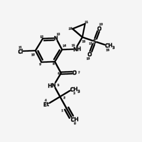 C#CC(C)(CC)NC(=O)c1cc(Cl)cnc1NC1(S(C)(=O)=O)CC1